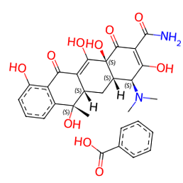 CN(C)[C@@H]1C(O)=C(C(N)=O)C(=O)[C@@]2(O)C(O)=C3C(=O)c4c(O)cccc4[C@@](C)(O)[C@H]3C[C@@H]12.O=C(O)c1ccccc1